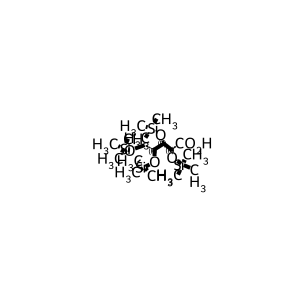 C[Si](C)(C)OC[C@@H](O[Si](C)(C)C)[C@@H](O[Si](C)(C)C)[C@@H](O[Si](C)(C)C)C(=O)O